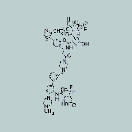 Cc1ncsc1-c1ccc([C@H](CC(=O)N2CCN(Cc3cccc(-c4ccc(N5CCN(C)CC5)c(NC(=O)c5c[nH]c(=O)cc5C(F)(F)F)c4)c3)CC2)NC(=O)[C@@H]2C[C@@H](O)CN2C(=O)[C@@H](NC(=O)C2(F)CC2)C(C)(C)C)cc1